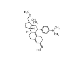 COC[C@]1(O)CC[C@H]2[C@@H]3CCC4=CC(=NO)CCC4=C3[C@@H](c3ccc(N(C)C)cc3)C[C@@]21C